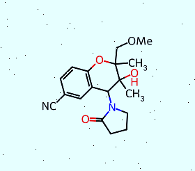 COCC1(C)Oc2ccc(C#N)cc2C(N2CCCC2=O)C1(C)O